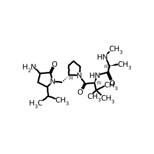 CN[C@@H](C)C(=O)N[C@H](C(=O)N1CCC[C@H]1CN1C(=O)C(N)CC1C(C)C)C(C)(C)C